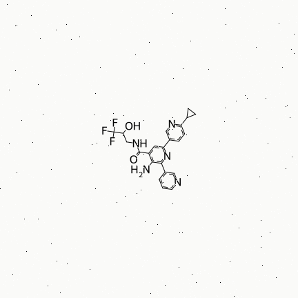 Nc1c(C(=O)NCC(O)C(F)(F)F)cc(-c2ccc(C3CC3)nc2)nc1-c1cccnc1